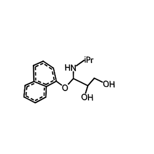 CC(C)NC(Oc1cccc2ccccc12)C(O)CO